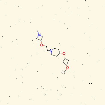 CCO[C@H]1C[C@H](OC2CCN(CCOC3CN(C)C3)CC2)C1